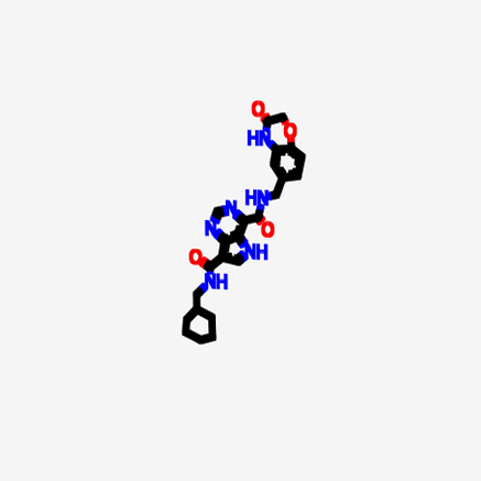 O=C1COc2ccc(CNC(=O)c3ncnc4c(C(=O)NCC5CCCCC5)c[nH]c34)cc2N1